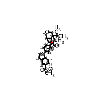 CC(C)(C)C12COCC(CN(C(=O)O)C1)C2Oc1ccc(-n2ccc3cc(S(C)(=O)=O)ccc32)nc1